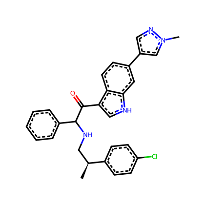 C[C@@H](CNC(C(=O)c1c[nH]c2cc(-c3cnn(C)c3)ccc12)c1ccccc1)c1ccc(Cl)cc1